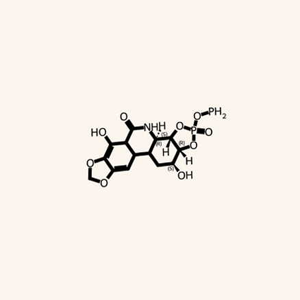 O=C1N[C@@H]2C(C[C@H](O)[C@H]3OP(=O)(OP)O[C@H]32)C2C=C3OCOC3=C(O)C12